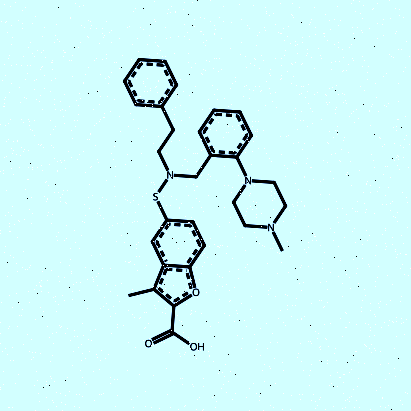 Cc1c(C(=O)O)oc2ccc(SN(CCc3ccccc3)Cc3ccccc3N3CCN(C)CC3)cc12